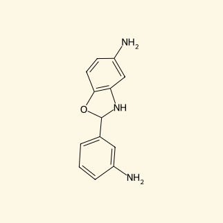 Nc1cccc(C2Nc3cc(N)ccc3O2)c1